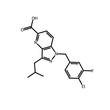 CC(C)Cc1nn(Cc2ccc(Cl)c(F)c2)c2ccc(C(=O)O)nc12